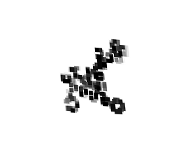 CC(C)=C(C(=O)OCc1ccccc1)N1C(=O)[C@H](NC(=O)COc2ccccc2)[C@@H]1SC(=O)COC(=O)OCC(Cl)(Cl)Cl